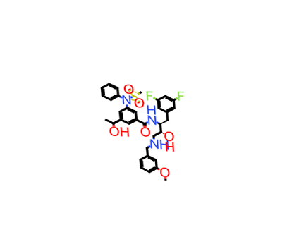 COc1cccc(CNC[C@@H](O)[C@H](Cc2cc(F)cc(F)c2)NC(=O)c2cc(C(C)O)cc(N(c3ccccc3)S(C)(=O)=O)c2)c1